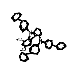 COc1cc(OC)c2c(c1)c1c(N(c3ccc(-c4ccccc4)cc3)c3ccc(-c4ccccc4)cc3)cccc1n2-c1ccc(-c2ccccc2)cc1